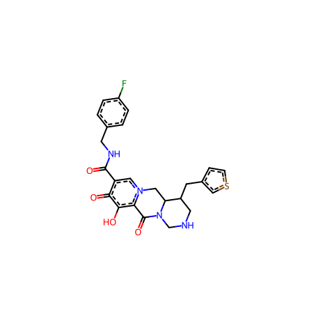 O=C(NCc1ccc(F)cc1)c1cn2c(c(O)c1=O)C(=O)N1CNCC(Cc3ccsc3)C1C2